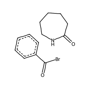 O=C(Br)c1ccccc1.O=C1CCCCCN1